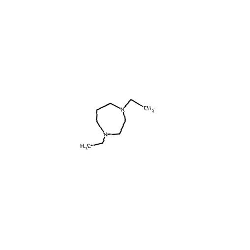 [CH2]CN1CCCN(CC)CC1